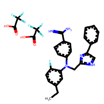 CCc1ccc(F)c(N(Cc2nc(-c3ccccc3)c[nH]2)c2ccc(C(=N)N)cc2)c1.O=C(O)C(F)(F)F.O=C(O)C(F)(F)F